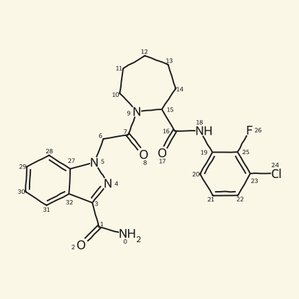 NC(=O)c1nn(CC(=O)N2CCCCCC2C(=O)Nc2cccc(Cl)c2F)c2ccccc12